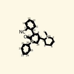 CN1CC=CCC1c1cc(-c2ccccc2C#N)c(=O)n(-c2ccccc2)c1